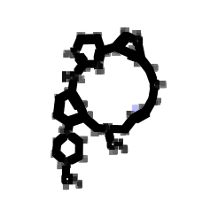 CN1CCN(c2ccc3cc2CN(C)C/C=C/COCc2cc(co2)-c2ccnc(n2)N3)CC1